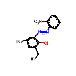 CC(C)Cc1cc(C(C)(C)C)cc(/N=N/c2ccccc2[N+](=O)[O-])c1O